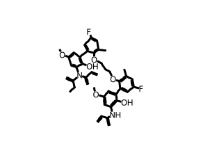 C=CC(=C)Nc1cc(OC)cc(-c2cc(F)cc(C)c2OCCCOc2c(C)cc(F)cc2-c2cc(OC)cc(N(C(=C)C=C)C(=C)CC)c2O)c1O